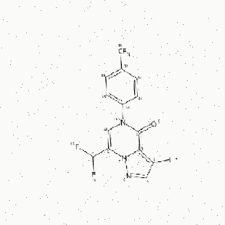 O=c1c2c(I)cnn2c(C(F)F)cn1-c1ccc(C(F)(F)F)cc1